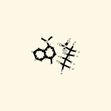 Cc1ccc([S+](C)C)c2ccccc12.O=S(=O)([O-])C(F)(F)C(F)(F)C(F)(F)C(F)(F)F